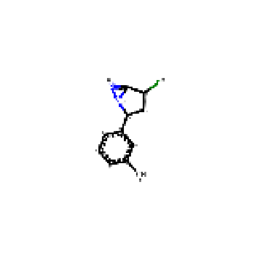 N#Cc1cccc(C2CC(F)C3=NN32)c1